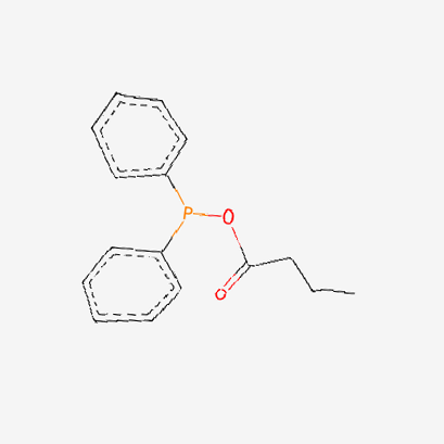 CCCC(=O)OP(c1ccccc1)c1ccccc1